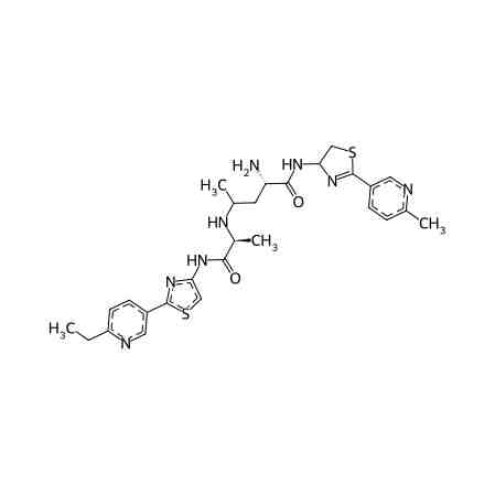 CCc1ccc(-c2nc(NC(=O)[C@H](C)NC(C)C[C@H](N)C(=O)NC3CSC(c4ccc(C)nc4)=N3)cs2)cn1